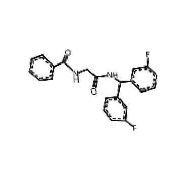 O=C(CNC(=O)c1ccccc1)NC(c1cccc(F)c1)c1cccc(F)c1